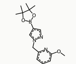 COc1cccc(Cn2cc(B3OC(C)(C)C(C)(C)O3)cn2)n1